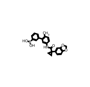 Cc1ccc(NC(=O)C2(c3ccc4c(c3)OCO4)CC2)cc1-c1cccc(B(O)O)c1